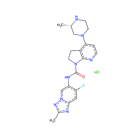 Cc1nc2cc(F)c(NC(=O)N3CCc4c(N5CCN[C@@H](C)C5)ccnc43)cn2n1.Cl